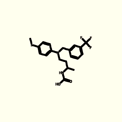 CSc1ccc(N(CCC(C)NC(=O)O)Cc2cccc(C(F)(F)F)c2)cc1